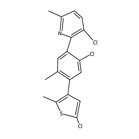 Cc1ccc(Cl)c(-c2cc(C)c(-c3cc(Cl)sc3C)cc2Cl)n1